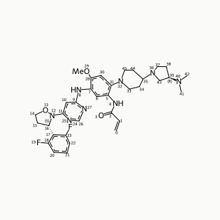 C=CC(=O)Nc1cc(Nc2cc(N3OCC[C@H]3c3c(F)cccc3F)ncn2)c(OC)cc1N1CCC(N2CC[C@@H](N(C)C)C2)CC1